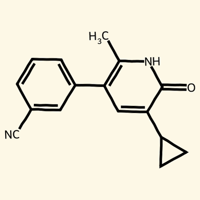 Cc1[nH]c(=O)c(C2CC2)cc1-c1cccc(C#N)c1